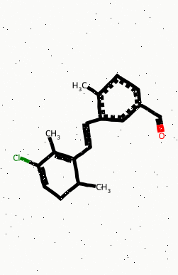 CC1=C(/C=C/c2cc(C=O)ccc2C)C(C)CC=C1Cl